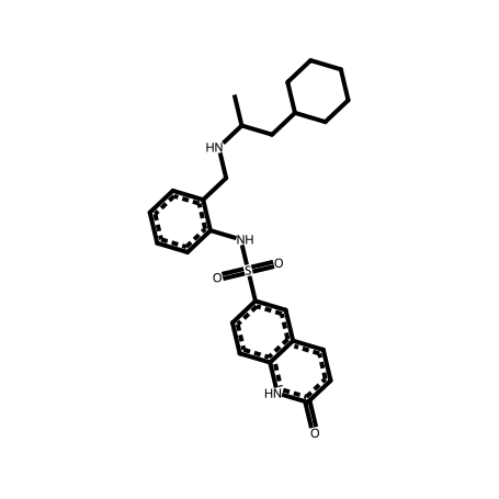 CC(CC1CCCCC1)NCc1ccccc1NS(=O)(=O)c1ccc2[nH]c(=O)ccc2c1